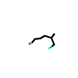 CC(CF)CCCBr